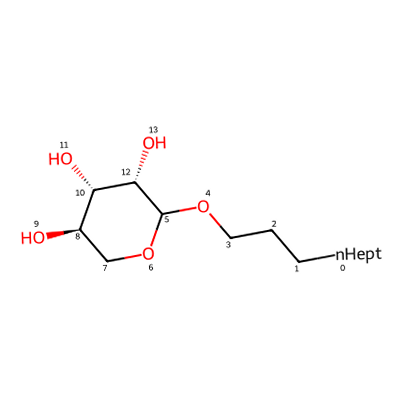 CCCCCCCCCCOC1OC[C@@H](O)[C@H](O)[C@@H]1O